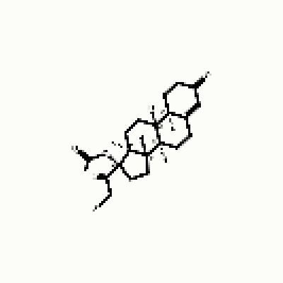 CC(=O)O[C@]1(C(=O)CBr)CC[C@H]2[C@@H]3CCC4=CC(=O)CC[C@]4(C)[C@H]3CC[C@@]21C